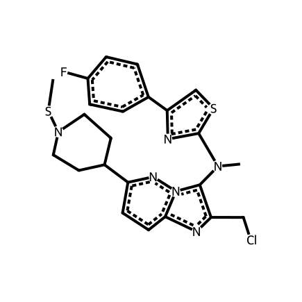 CSN1CCC(c2ccc3nc(CCl)c(N(C)c4nc(-c5ccc(F)cc5)cs4)n3n2)CC1